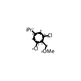 COCc1c(Cl)cc(C(C)C)cc1Cl